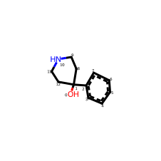 OC1(c2[c]cccc2)CCNCC1